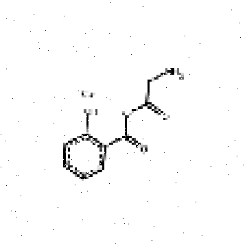 NCC(=O)OC(=O)c1ccccc1O.[Cu]